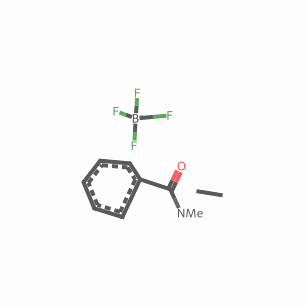 CC.CNC(=O)c1ccccc1.F[B-](F)(F)F